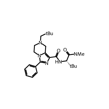 CNC(=O)[C@@H](NC(=O)c1nc(-c2ccccc2)n2c1CN(CC(C)(C)C)CC2)C(C)(C)C